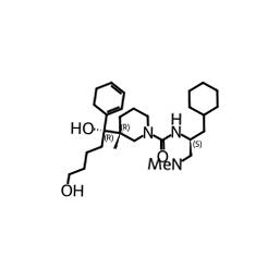 CNC[C@H](CC1CCCCC1)NC(=O)N1CCC[C@@](C)([C@@](O)(CCCCO)C2=CC=CCC2)C1